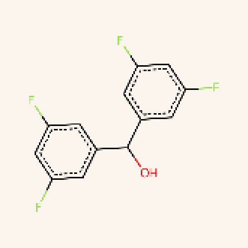 OC(c1cc(F)cc(F)c1)c1cc(F)cc(F)c1